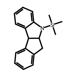 C[Si](C)(C)N1c2ccccc2C2c3ccccc3CC21